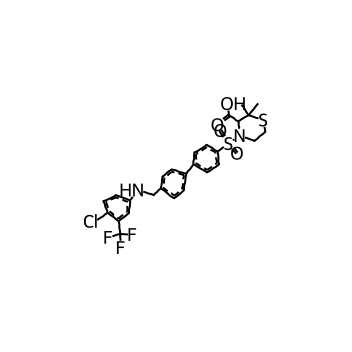 CC1(C)SCCN(S(=O)(=O)c2ccc(-c3ccc(CNc4ccc(Cl)c(C(F)(F)F)c4)cc3)cc2)C1C(=O)O